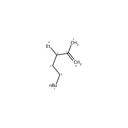 C=C(C)C(CC)CCCCCC